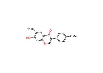 CCCCCCc1cc2c(=O)c(-c3ccc(OC)cc3)coc2cc1O